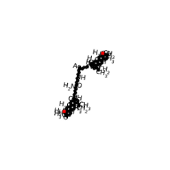 C=C(C)C1CCC2(C(=O)NCCCCC(N)C(=O)CCCNCCCC(CCCCNC(=O)C34CCC(C(=C)C)C3[C@H]3CC[C@@H]5[C@@]6(C)CCC(=O)C(C)(C)[C@@H]6CC[C@@]5(C)[C@]3(C)CC4)C(C)=O)CC[C@]3(C)[C@H](CC[C@@H]4[C@@]5(C)CCC(=O)C(C)(C)[C@@H]5CC[C@]43C)C12